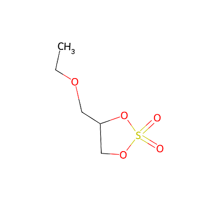 CCOCC1COS(=O)(=O)O1